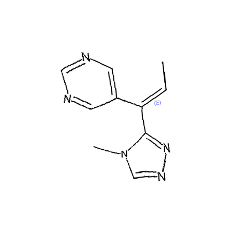 C/C=C(\c1cncnc1)c1nncn1C